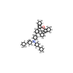 c1ccc(-c2ccc(N(c3ccc(-c4ccccc4)cc3)c3ccc(-c4cccc5c4-c4ccccc4C54c5ccc6ccccc6c5Oc5c4ccc4ccccc54)cc3)cc2)cc1